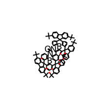 CC(C)(C)c1ccc2c(c1)C1(c3cc(C(C)(C)C)ccc3-2)c2cccc3c2B2c4c1cccc4C1(c4cc(C(C)(C)C)ccc4-c4ccc(C(C)(C)C)cc41)c1cc4cc5c6c7c4c(c12)N3C(=O)N7c1cccc2c1B6c1c(cccc1C51c3cc(C(C)(C)C)ccc3-c3ccc(C(C)(C)C)cc31)C21c2cc(C(C)(C)C)ccc2-c2ccc(C(C)(C)C)cc21